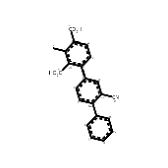 Cc1c(C(=O)O)ccc(-c2ccc(-c3ccccc3)c(C#N)c2)c1C(=O)O